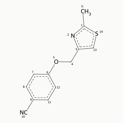 Cc1nc(COc2ccc(C#N)cc2)cs1